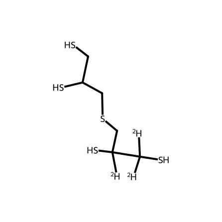 [2H]C([2H])(S)C([2H])(S)CSCC(S)CS